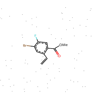 C=Cc1cc(Br)c(F)cc1C(=O)OC